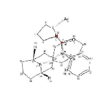 CC(=O)[C@H]1CCCN1C(=O)N(c1ccccc1)[C@H]1C[C@H]2CCC[C@@H](C1)N2[C@H]1C[C@@H]2CCC[C@@H](C2)C1